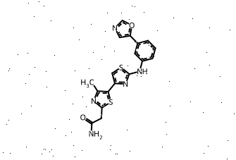 Cc1nc(CC(N)=O)sc1-c1csc(Nc2cccc(-c3cnco3)c2)n1